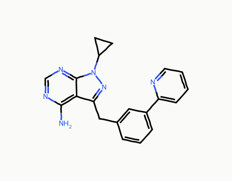 Nc1ncnc2c1c(Cc1cccc(-c3ccccn3)c1)nn2C1CC1